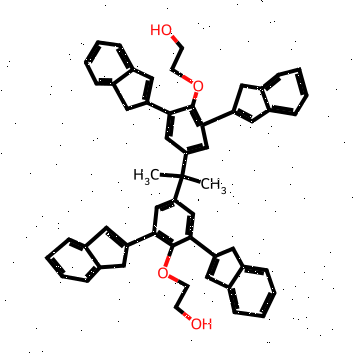 CC(C)(c1cc(C2=Cc3ccccc3C2)c(OCCO)c(C2=Cc3ccccc3C2)c1)c1cc(C2=Cc3ccccc3C2)c(OCCO)c(C2=Cc3ccccc3C2)c1